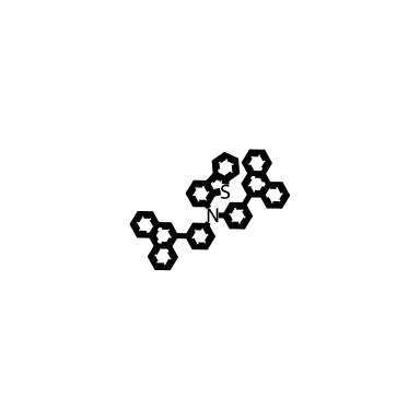 c1cc(-c2cc3ccccc3c3ccccc23)cc(N(c2cccc(-c3cc4ccccc4c4ccccc34)c2)c2cccc3c2sc2ccccc23)c1